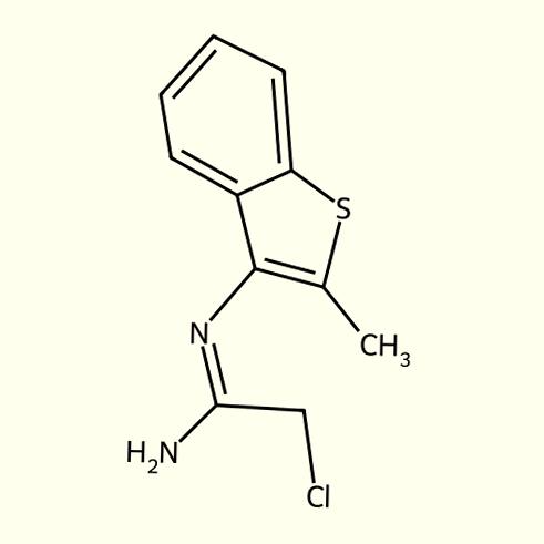 Cc1sc2ccccc2c1/N=C(/N)CCl